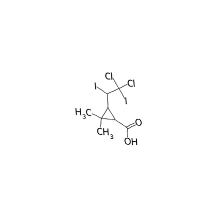 CC1(C)C(C(=O)O)C1C(I)C(Cl)(Cl)I